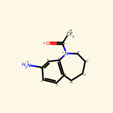 Nc1ccc2c(c1)N(C(=O)C(F)(F)F)CCCC2